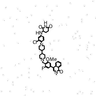 COc1cc(-c2cn(C)c(=O)c3ccccc23)cc(F)c1CN1CCC(C2CCN(c3ccc(NC4CCC(=O)NC4=O)cc3Cl)CC2)CC1